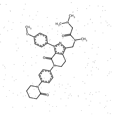 COc1ccc(-n2nc(CN(C)C(=O)CN(C)C)c3c2C(=O)N(c2ccc(N4CCCCC4=O)cc2)CC3)cc1